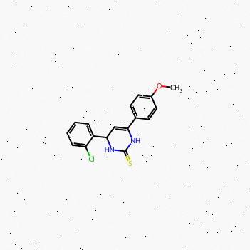 COc1ccc(C2=CC(c3ccccc3Cl)NC(=S)N2)cc1